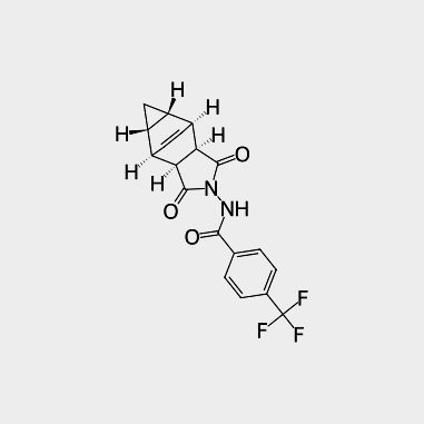 O=C(NN1C(=O)[C@@H]2[C@H]3C=C[C@H]([C@@H]4C[C@H]34)[C@@H]2C1=O)c1ccc(C(F)(F)F)cc1